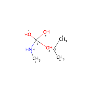 CCC.CNC(O)(O)O